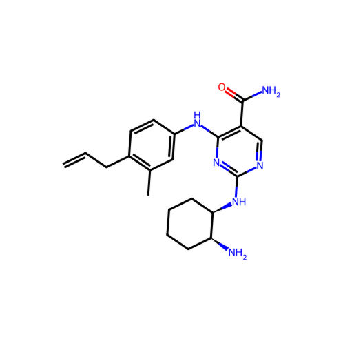 C=CCc1ccc(Nc2nc(N[C@@H]3CCCC[C@@H]3N)ncc2C(N)=O)cc1C